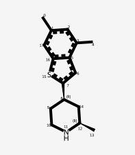 Cc1cc(C)c2cc([C@@H]3CCN[C@H](C)C3)sc2c1